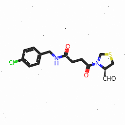 O=C[C@@H]1CSCN1C(=O)CCC(=O)NCc1ccc(Cl)cc1